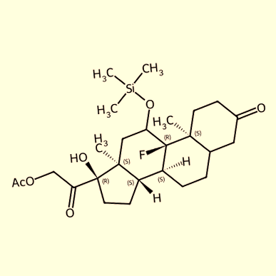 CC(=O)OCC(=O)[C@@]1(O)CC[C@H]2[C@@H]3CCC4CC(=O)CC[C@]4(C)[C@@]3(F)C(O[Si](C)(C)C)C[C@@]21C